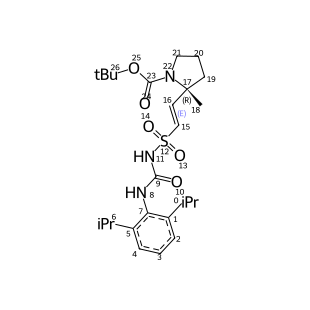 CC(C)c1cccc(C(C)C)c1NC(=O)NS(=O)(=O)/C=C/[C@@]1(C)CCCN1C(=O)OC(C)(C)C